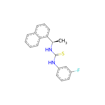 C[C@@H](NC(=S)Nc1cccc(F)c1)c1cccc2ccccc12